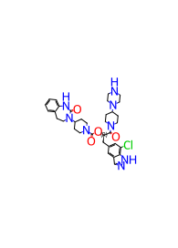 O=C(O[C@H](Cc1cc(Cl)c2[nH]ncc2c1)C(=O)N1CCC(N2CCNCC2)CC1)N1CCC(N2CCc3ccccc3NC2=O)CC1